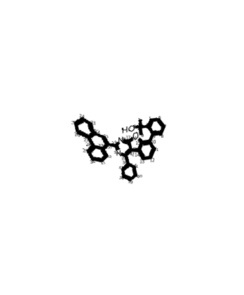 CC(C)(O)c1ccccc1-c1cccc2c1oc1nc(-c3cc4ccccc4c4ccccc34)nc(-c3ccccc3)c12